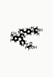 COc1cc(-c2c(-c3ccncc3)nn3c(-c4ccc(N5C[C@@H]6C[C@H]5CN6)cc4)ccnc23)ccc1F.O=C(O)C(F)(F)F